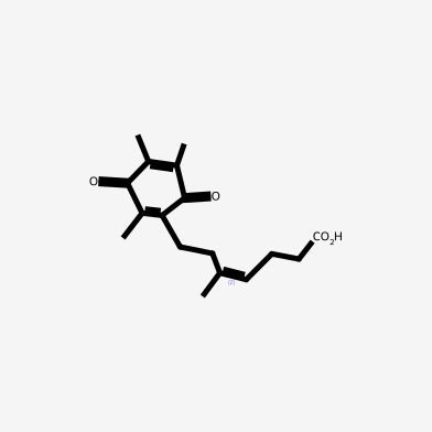 CC1=C(C)C(=O)C(CC/C(C)=C\CCC(=O)O)=C(C)C1=O